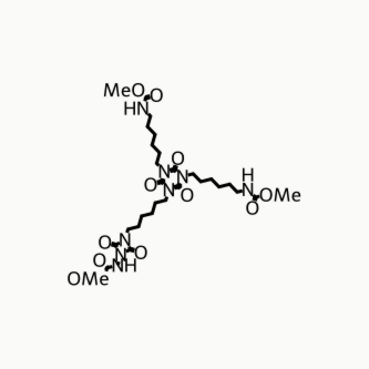 COC(=O)NCCCCCCn1c(=O)n(CCCCCCNC(=O)OC)c(=O)n(CCCCCCN2C(=O)N(NC(=O)OC)C2=O)c1=O